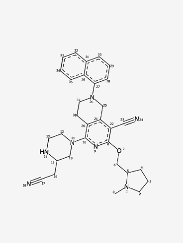 CN1CCCC1COc1nc(N2CCNC(CC#N)C2)c2c(c1C#N)CN(c1cccc3ccccc13)CC2